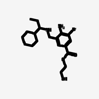 CCC(NCc1cc(C(=O)OCCO)cc(Br)c1N)C1CCCCC1